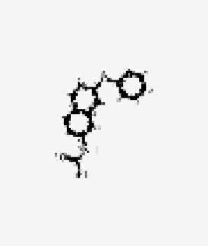 [CH2]CC(=O)Nc1ccc2cnc(Oc3ccccc3)cc2c1